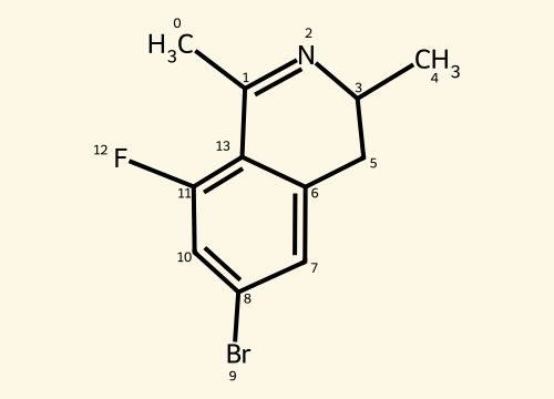 CC1=NC(C)Cc2cc(Br)cc(F)c21